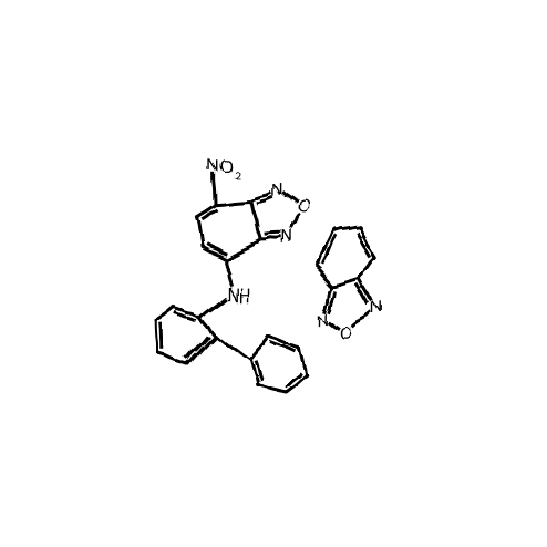 O=[N+]([O-])c1ccc(Nc2ccccc2-c2ccccc2)c2nonc12.c1ccc2nonc2c1